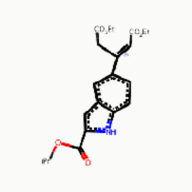 CCOC(=O)/C=C(\CC(=O)OCC)c1ccc2[nH]c(C(=O)OC(C)C)cc2c1